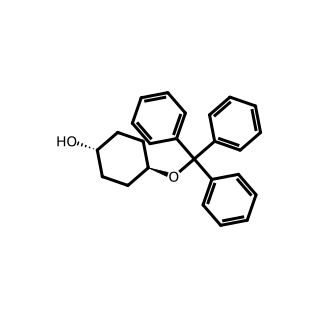 O[C@H]1CC[C@H](OC(c2ccccc2)(c2ccccc2)c2ccccc2)CC1